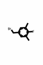 Cc1cc(CBr)cc(C)c1F